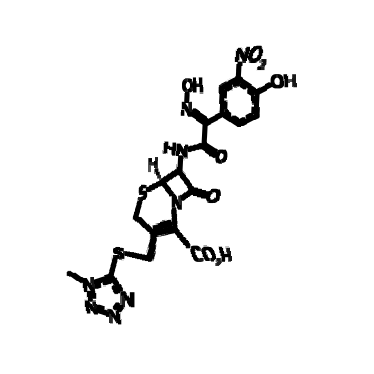 Cn1nnnc1SCC1=C(C(=O)O)N2C(=O)C(NC(=O)C(=NO)c3ccc(O)c([N+](=O)[O-])c3)[C@@H]2SC1